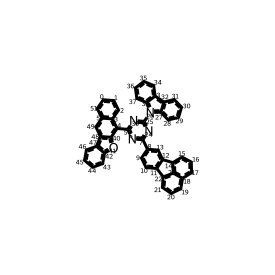 c1ccc2c(-c3nc(-c4ccc5c(c4)-c4cccc6cccc-5c46)nc(-n4c5ccccc5c5ccccc54)n3)c3oc4ccccc4c3cc2c1